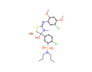 Br.CCCN(CCC)S(=O)(=O)c1cc(C2(O)CSC(=Nc3cc(Cl)c(OC)cc3OC)N2C)ccc1Cl